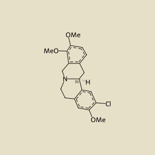 COc1cc2c(cc1Cl)[C@@H]1Cc3ccc(OC)c(OC)c3CN1CC2